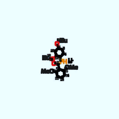 CCC(C)Oc1ccc(PC(=O)c2c(OC)cccc2OC)c(OC(C)CC)c1.[Li]